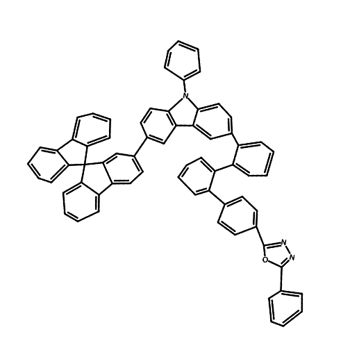 c1ccc(-c2nnc(-c3ccc(-c4ccccc4-c4ccccc4-c4ccc5c(c4)c4cc(-c6ccc7c(c6)C6(c8ccccc8-c8ccccc86)c6ccccc6-7)ccc4n5-c4ccccc4)cc3)o2)cc1